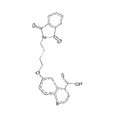 O=C(O)c1ccnc2ccc(OCCCCN3C(=O)c4ccccc4C3=O)cc12